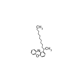 CCCCCCCCCCC(C)c1cccc2c1[N]c1ccccc1O2